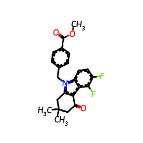 COC(=O)c1ccc(Cn2c3c(c4c(F)c(F)ccc42)C(=O)CC(C)(C)C3)cc1